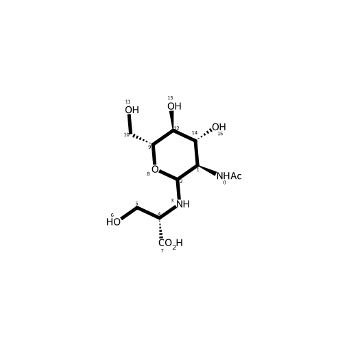 CC(=O)N[C@H]1C(N[C@@H](CO)C(=O)O)O[C@H](CO)[C@@H](O)[C@@H]1O